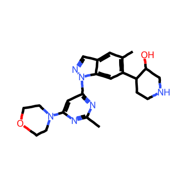 Cc1nc(N2CCOCC2)cc(-n2ncc3cc(C)c(C4CCNCC4O)cc32)n1